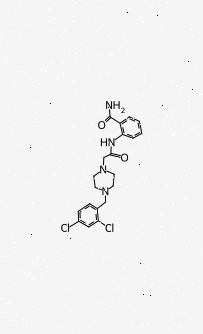 NC(=O)c1ccccc1NC(=O)CN1CCN(Cc2ccc(Cl)cc2Cl)CC1